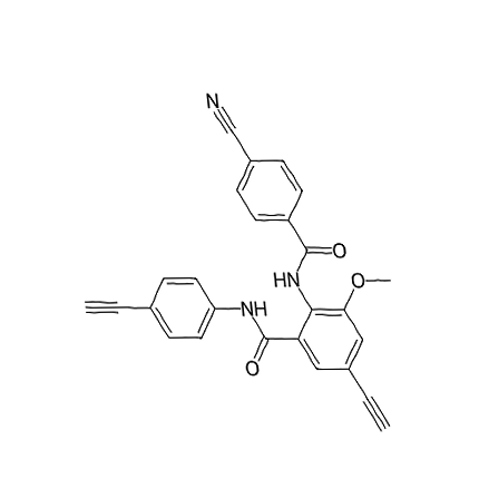 C#Cc1ccc(NC(=O)c2cc(C#C)cc(OC)c2NC(=O)c2ccc(C#N)cc2)cc1